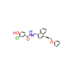 O=C(N/N=C/c1ccc(C#CCOc2ccccc2)c2ccccc12)c1ccc(O)c(Cl)c1